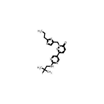 CCCc1ncc(Cn2nc(-c3cnc(NCC(C)(C)I)nc3)ccc2=O)s1